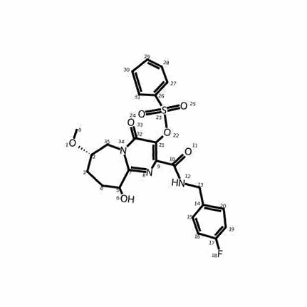 CO[C@H]1CCC(O)c2nc(C(=O)NCc3ccc(F)cc3)c(OS(=O)(=O)c3ccccc3)c(=O)n2C1